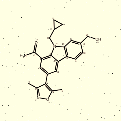 Cc1noc(C)c1-c1cc(C(N)=O)c2c(c1)c1ccc(CO)cc1n2CC1CC1